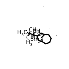 BC(B)(C1CC2CCCCC(C1)C2C)C(C)(C)C